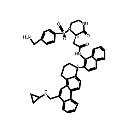 NCc1ccc(S(=O)(=O)N2CCNC(=O)[C@H]2CC(=O)Nc2c([C@@H]3CCCc4c3ccc3c4cc(CNC4CC4)c4ccccc43)ccc3ccccc23)cc1